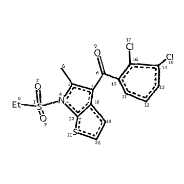 CCS(=O)(=O)n1c(C)c(C(=O)c2cccc(Cl)c2Cl)c2ccsc21